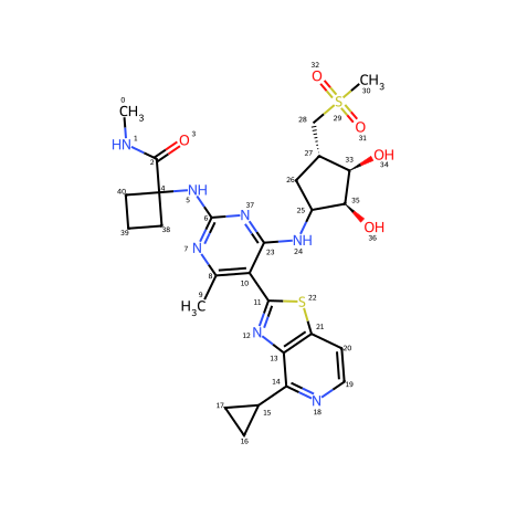 CNC(=O)C1(Nc2nc(C)c(-c3nc4c(C5CC5)nccc4s3)c(NC3C[C@H](CS(C)(=O)=O)[C@@H](O)[C@H]3O)n2)CCC1